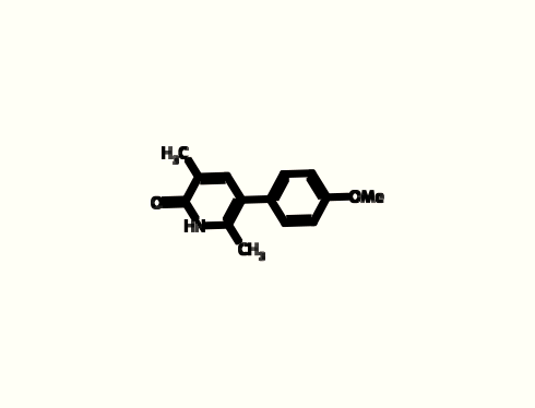 COc1ccc(-c2cc(C)c(=O)[nH]c2C)cc1